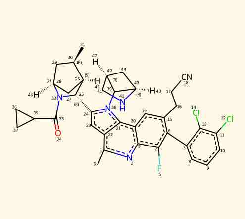 Cc1nc2c(F)c(-c3cccc(Cl)c3Cl)c(CCC#N)cc2c2c1cc([C@H]1[C@H]3C[C@H](C[C@H]3C)N1C(=O)C1CC1)n2C1[C@H]2CN[C@@H]1C2